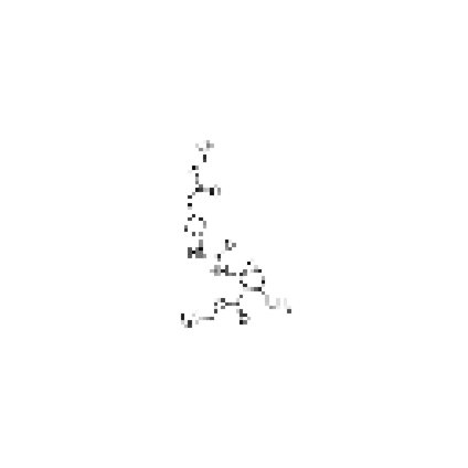 CCOC(=O)CC1CC(NC(=O)Nc2scc(C)c2C(=O)OCC)C1